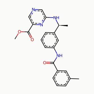 COC(=O)c1cncc(N[C@@H](C)c2cccc(NC(=O)c3cccc(C)c3)c2)n1